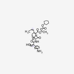 C/C=C\C1=C(C(=O)OC(C)OC(=O)OC2CCCCC2)N2C(=O)C(NC(=O)/C(=N\O)c3csc(N)n3)[C@@H]2SC1